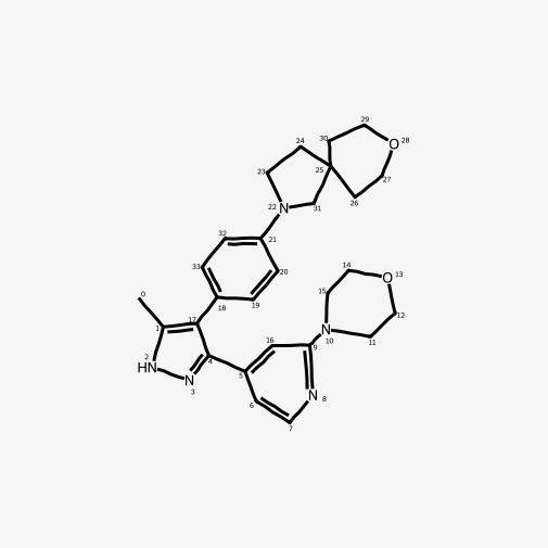 Cc1[nH]nc(-c2ccnc(N3CCOCC3)c2)c1-c1ccc(N2CCC3(CCOCC3)C2)cc1